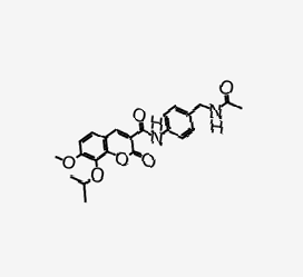 COc1ccc2cc(C(=O)Nc3ccc(CNC(C)=O)cc3)c(=O)oc2c1OC(C)C